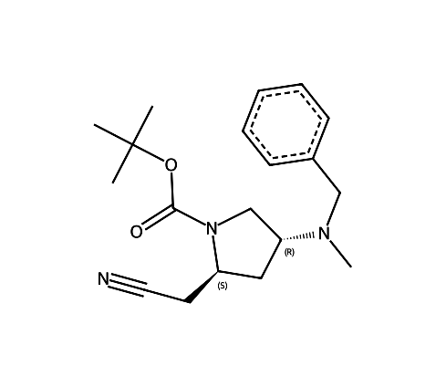 CN(Cc1ccccc1)[C@@H]1C[C@@H](CC#N)N(C(=O)OC(C)(C)C)C1